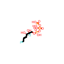 O=P(O)(O)OP(=O)(O)OP(=O)(O)OC[C@](O)(F)[C@@H](O)C=CCF